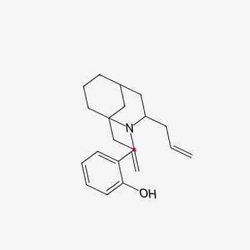 C=CCC1CC2CCCC(CC=C)(C2)N1Cc1ccccc1O